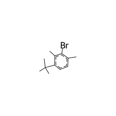 Cc1ccc(C(C)(C)C)c(C)c1Br